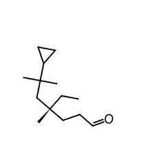 CC[C@](C)(CCC=O)CC(C)(C)C1CC1